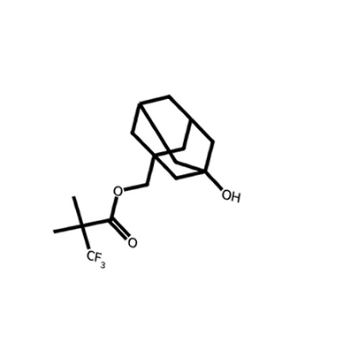 CC(C)(C(=O)OCC12CC3CC(CC(O)(C3)C1)C2)C(F)(F)F